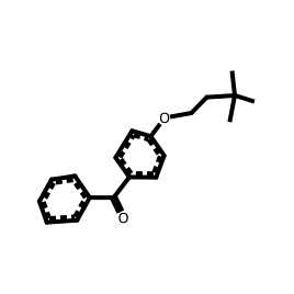 CC(C)(C)CCOc1ccc(C(=O)c2ccccc2)cc1